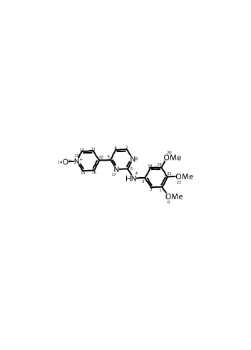 COc1cc(Nc2nccc(-c3cc[n+]([O-])cc3)n2)cc(OC)c1OC